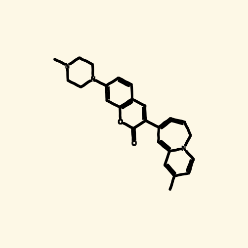 CC1=CC2=CC(c3cc4ccc(N5CCN(C)CC5)cc4oc3=O)=C=CCN2C=C1